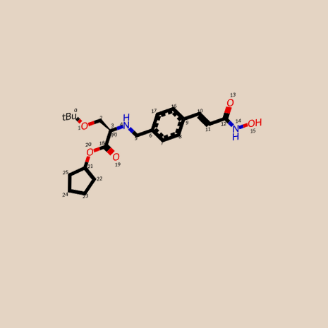 CC(C)(C)OC[C@@H](NCc1ccc(C=CC(=O)NO)cc1)C(=O)OC1CCCC1